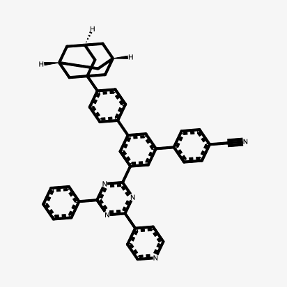 N#Cc1ccc(-c2cc(-c3ccc(C45C[C@H]6C[C@@H](C4)C[C@@H](C5)C6)cc3)cc(-c3nc(-c4ccccc4)nc(-c4ccncc4)n3)c2)cc1